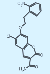 NC(=O)c1cc2cc(Cl)c(OCCc3ccccc3[N+](=O)[O-])cc2oc1=O